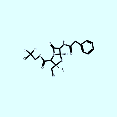 C[C@@]1(CBr)S[C@H]2C(NC(=O)Cc3ccccc3)C(=O)N2C1C(=O)OCC(Cl)(Cl)Cl